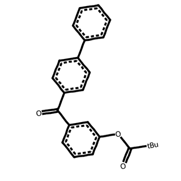 CC(C)(C)C(=O)Oc1cccc(C(=O)c2ccc(-c3ccccc3)cc2)c1